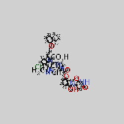 Cc1nn(C)c(C)c1-c1c(Cl)ccc2c(CCCOc3cccc4c3CCCC4)c(C(=O)O)n(CCN3CCN(C(=O)COc4cccc5c4CN(C4CCC(=O)NC4=O)C5O)CC3)c12